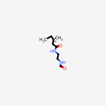 CC[C@H](C)CC(=O)NCCNC=O